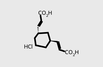 Cl.O=C(O)C=C[C@H]1CCC[C@H](C=CC(=O)O)C1